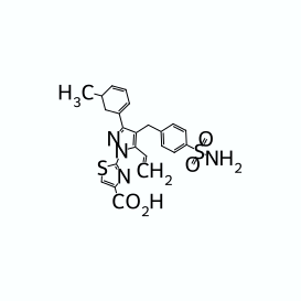 C=Cc1c(Cc2ccc(S(N)(=O)=O)cc2)c(C2=CC=CC(C)C2)nn1-c1nc(C(=O)O)cs1